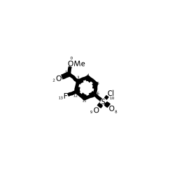 COC(=O)c1ccc(S(=O)(=O)Cl)cc1F